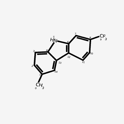 Cc1ccc2[nH]c3cc(C(F)(F)F)ccc3c2c1